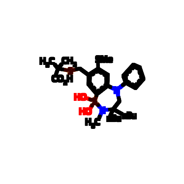 CCCCC1(CCCC)CN(c2ccccc2)c2cc(SC)c(CSC(C)(C)C(=O)O)cc2S(O)(O)N1C